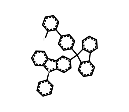 Clc1ccccc1-c1ccc(C2(c3ccc4c(c3)c3ccccc3n4-c3ccccc3)c3ccccc3-c3ccccc32)cc1